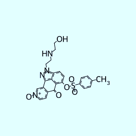 Cc1ccc(S(=O)(=O)Oc2ccc3c4c(nn3CCNCCO)-c3c[n+]([O-])ccc3C(=O)c24)cc1